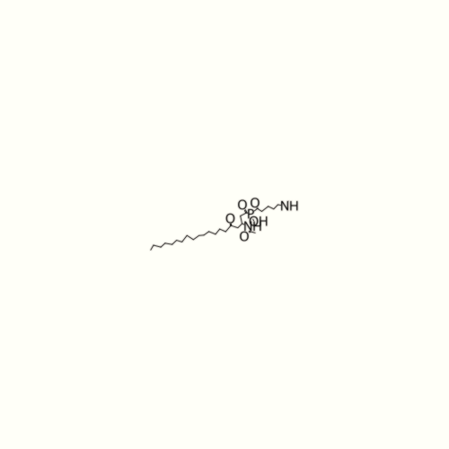 CCCCCCCCCCCCCCCC(=O)CC(CC(=O)P(O)C(=O)CCCCNC)NC(C)=O